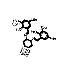 CC(=O)[O-].CC(=O)[O-].CC(=O)[O-].CC(C)(C)c1cc(C=N[C@H]2CCCC[C@@H]2N=Cc2cc(C(C)(C)C)cc(C(C)(C)C)c2O)c(O)c(C(C)(C)C)c1.[Co+3]